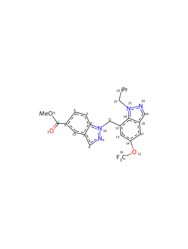 COC(=O)c1ccc2c(cnn2Cc2cc(OC(F)(F)F)cc3cnn(CC(C)C)c23)c1